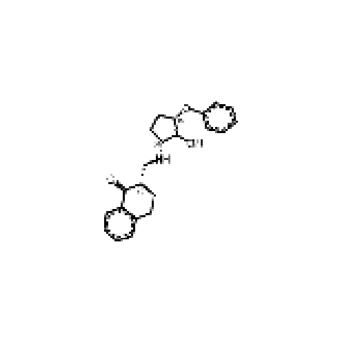 O=C1c2ccccc2CC[C@H]1CN[C@@H]1CC[C@@H](Oc2ccccc2)C1O